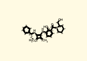 C=C1C(=O)C(N[C@H](CC)c2ccccc2)=C1Nc1cccc(C(=O)N2CCCCC2CO)c1O